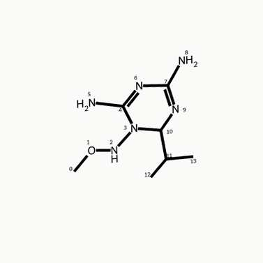 CONN1C(N)=NC(N)=NC1C(C)C